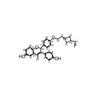 CC1=C(c2ccc(O)cc2)C(c2ccc(OCCN3CC(CF)C3)cc2)Oc2ccc(O)cc21